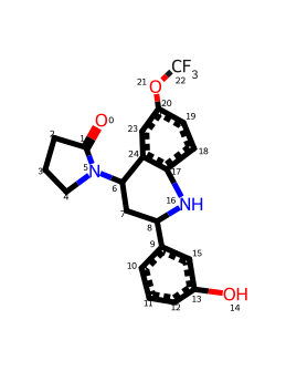 O=C1CCCN1C1CC(c2cccc(O)c2)Nc2ccc(OC(F)(F)F)cc21